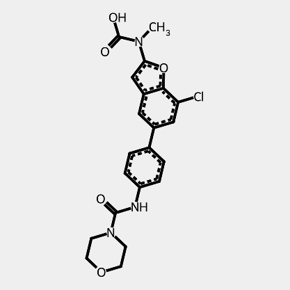 CN(C(=O)O)c1cc2cc(-c3ccc(NC(=O)N4CCOCC4)cc3)cc(Cl)c2o1